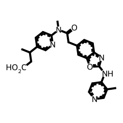 Cc1cnccc1Nc1nc2ccc(CC(=O)N(C)c3ccc(C(C)CC(=O)O)cn3)cc2o1